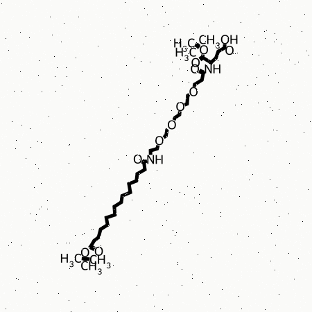 CC(C)(C)OC(=O)CCCCCCCCCCCCCCC(=O)NCCOCCOCCOCCOCCC(=O)NC(CCC(=O)O)C(=O)OC(C)(C)C